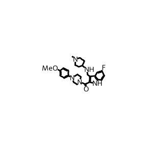 COc1ccc(N2CCN(C(=O)c3[nH]c4ccc(F)cc4c3CNC3CCN(C)CC3)CC2)cc1